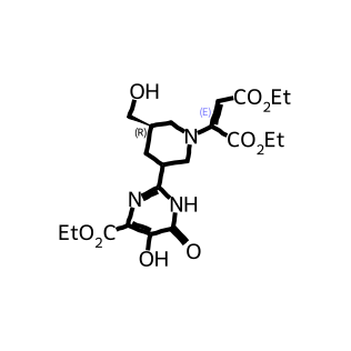 CCOC(=O)/C=C(\C(=O)OCC)N1CC(c2nc(C(=O)OCC)c(O)c(=O)[nH]2)C[C@@H](CO)C1